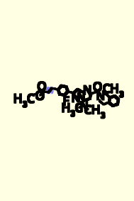 CCOC(=O)/C=C/c1ccc(-c2cc3nc(C(=O)N4CCc5ccccc5C4C)cc(N(C)C)n3n2)c(F)c1